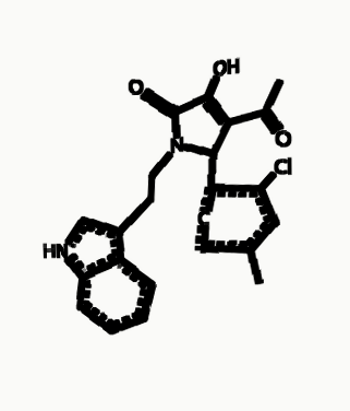 CC(=O)C1=C(O)C(=O)N(CCc2c[nH]c3ccccc23)C1c1ccc(C)cc1Cl